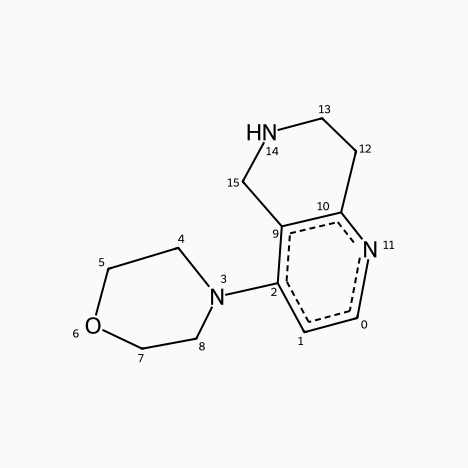 c1cc(N2CCOCC2)c2c(n1)CCNC2